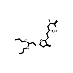 C=C(I)[C@H](C)C[C@H](O)CC[C@@H]1O[C@@H](CCC(OCCC)OCCC)CC1=C